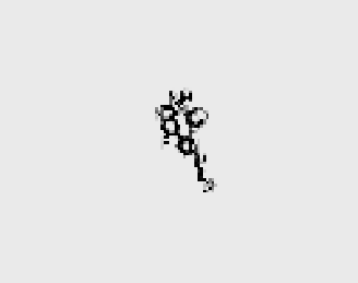 CN(C)CCCOc1ccc(-c2cc3c(cc2F)ncc2c3n(C3CCCOC3)c(=O)n2C)c(F)n1